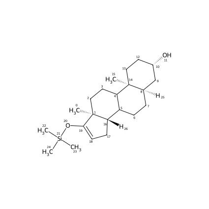 C[C@]12CCC3C(CC[C@@H]4C[C@@H](O)CC[C@]34C)[C@@H]1CC=C2O[Si](C)(C)C